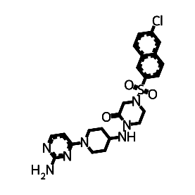 Nc1nccc(N2CCC(NN3CCN(S(=O)(=O)c4ccc5cc(Cl)ccc5c4)CC3=O)CC2)n1